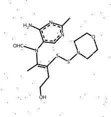 C/C(=C(\CCO)SSN1CCOCC1)N(C=O)c1cnc(C)nc1N